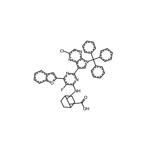 O=C(O)C1C2CCC(CC2)C1Nc1nc(-c2cn(C(c3ccccc3)(c3ccccc3)c3ccccc3)c3ncc(Cl)nc23)nc(-c2cc3ccccc3o2)c1F